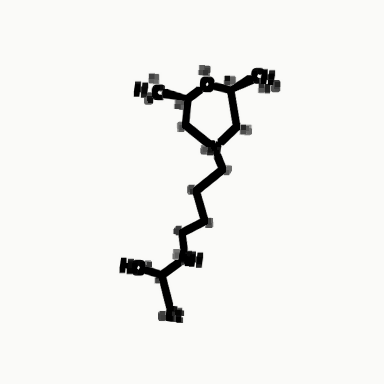 CCC(O)NCCCCN1C[C@@H](C)O[C@@H](C)C1